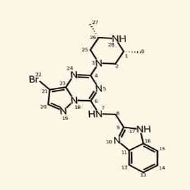 C[C@@H]1CN(c2nc(NCc3nc4ccccc4[nH]3)n3ncc(Br)c3n2)C[C@H](C)N1